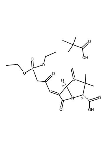 C=S1[C@@H]2C(=CC(=O)CP(=O)(OCC)OCC)C(=O)N2[C@@H](C(=O)O)C1(C)C.CC(C)(C)C(=O)O